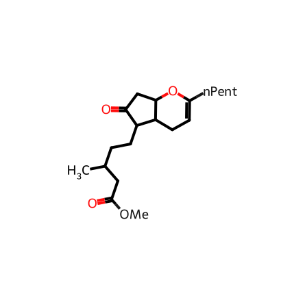 CCCCCC1=CCC2C(CC(=O)C2CCC(C)CC(=O)OC)O1